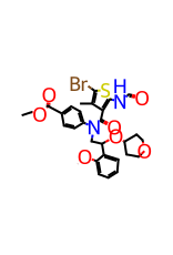 CCOC(=O)c1ccc(N(CC(OC2CCOCC2)c2ccccc2OC)C(=O)c2c(NC=O)sc(Br)c2C)cc1